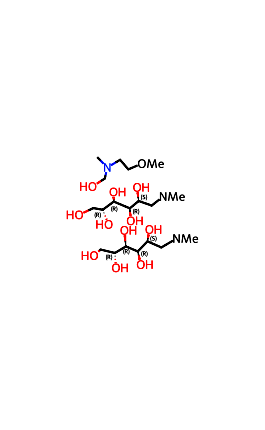 CNC[C@H](O)[C@@H](O)[C@H](O)[C@H](O)CO.CNC[C@H](O)[C@@H](O)[C@H](O)[C@H](O)CO.COCCN(C)CO